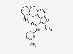 Cc1oc2ccc(O)c(CN3CCCC[C@@H]3C)c2c1C(=O)Nc1cccc(C(F)(F)F)c1